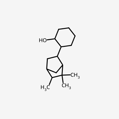 CC1C2CC(C3CCCCC3O)C(C2)C1(C)C